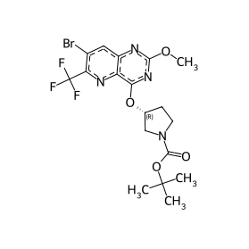 COc1nc(O[C@@H]2CCN(C(=O)OC(C)(C)C)C2)c2nc(C(F)(F)F)c(Br)cc2n1